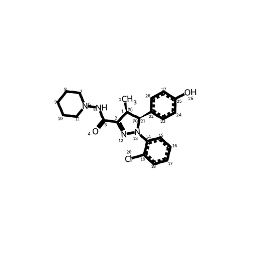 C[C@@H]1C(C(=O)NN2CCCCC2)=NN(c2ccccc2Cl)[C@@H]1c1ccc(O)cc1